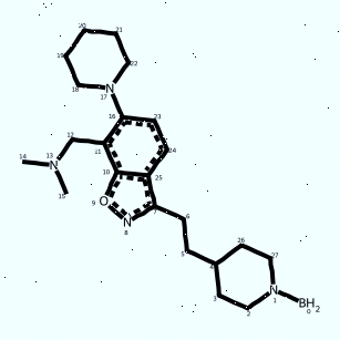 BN1CCC(CCc2noc3c(CN(C)C)c(N4CCCCC4)ccc23)CC1